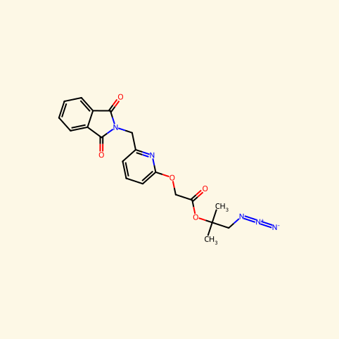 CC(C)(CN=[N+]=[N-])OC(=O)COc1cccc(CN2C(=O)c3ccccc3C2=O)n1